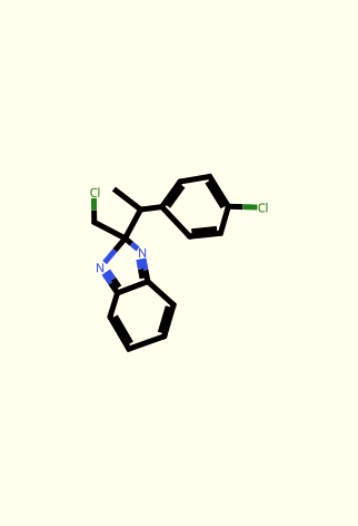 CC(c1ccc(Cl)cc1)C1(CCl)N=c2ccccc2=N1